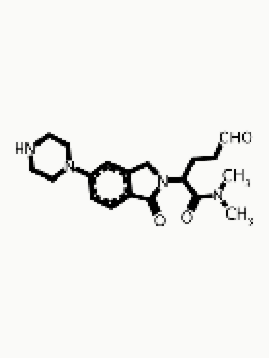 CN(C)C(=O)C(CCC=O)N1Cc2cc(N3CCNCC3)ccc2C1=O